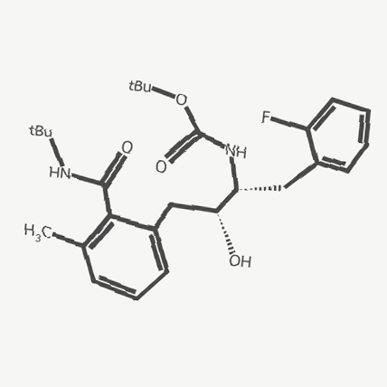 Cc1cccc(C[C@@H](O)[C@@H](Cc2ccccc2F)NC(=O)OC(C)(C)C)c1C(=O)NC(C)(C)C